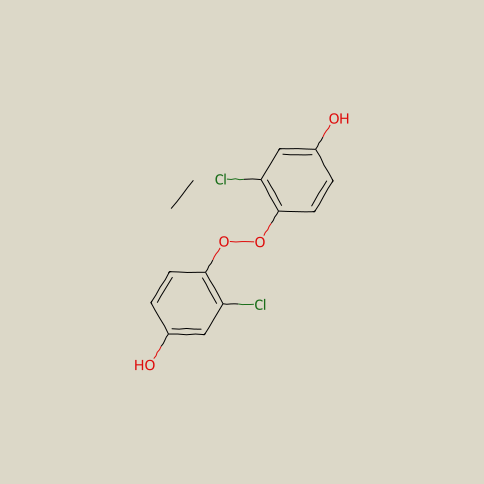 CC.Oc1ccc(OOc2ccc(O)cc2Cl)c(Cl)c1